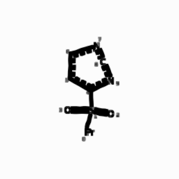 CC(C)S(=O)(=O)c1ccncn1